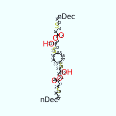 CCCCCCCCCCCCSCCC(=O)OCC(O)CSC1CCCC(SCC(O)COC(=O)CCSCCCCCCCCCCCC)CCC1